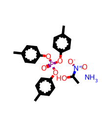 CC(O)[N+](=O)[O-].Cc1ccc(OP(=O)(Oc2ccc(C)cc2)Oc2ccc(C)cc2)cc1.N